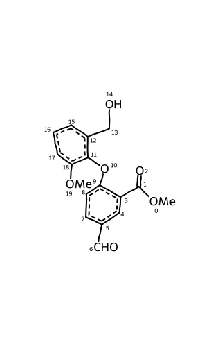 COC(=O)c1cc(C=O)ccc1Oc1c(CO)cccc1OC